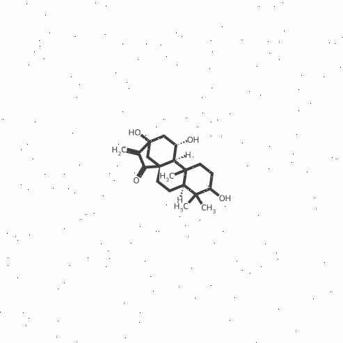 C=C1C(=O)[C@@]23CC[C@@H]4C(C)(C)C(O)CCC4(C)[C@@H]2[C@@H](O)CC1(O)C3